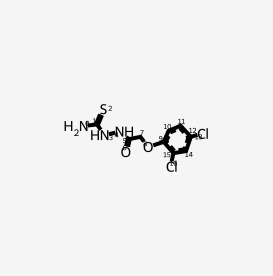 NC(=S)NNC(=O)COc1ccc(Cl)cc1Cl